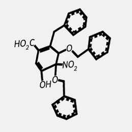 O=C(O)C1=C(Cc2ccccc2)C(OCc2ccccc2)C(OCc2ccccc2)([N+](=O)[O-])C(O)=C1